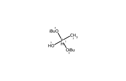 CC(C)CO[PH](C)(O)OCC(C)C